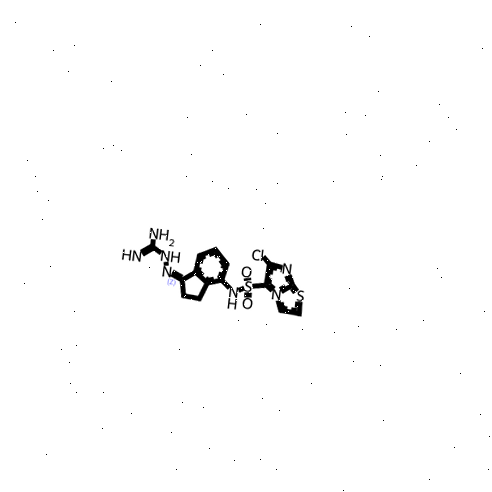 N=C(N)N/N=C1/CCc2c(NS(=O)(=O)c3c(Cl)nc4sccn34)cccc21